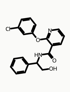 O=C(NC(CO)c1ccccc1)c1cccnc1Oc1cccc(Cl)c1